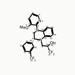 COc1cccnc1N1C[C@@H](c2cccc(C(F)(F)F)c2)N(C[C@@H](O)C(F)(F)F)c2ccccc21